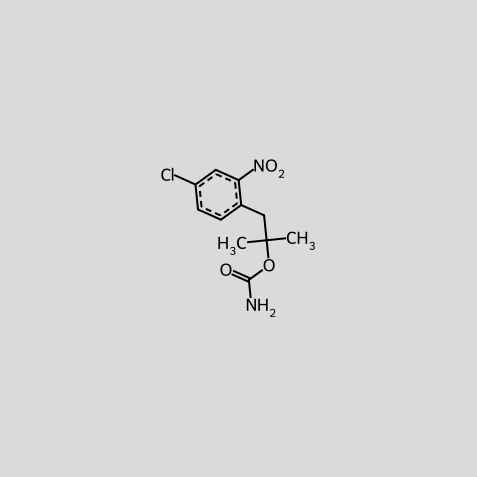 CC(C)(Cc1ccc(Cl)cc1[N+](=O)[O-])OC(N)=O